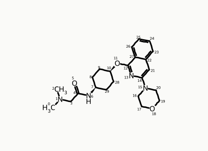 CN(C)CC(=O)N[C@H]1CC[C@@H](Oc2nc(N3CCOCC3)cc3ccccc23)CC1